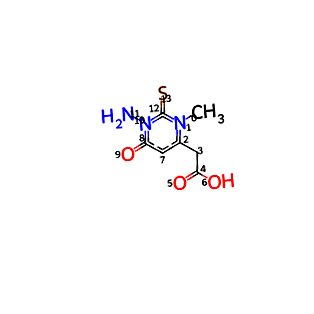 Cn1c(CC(=O)O)cc(=O)n(N)c1=S